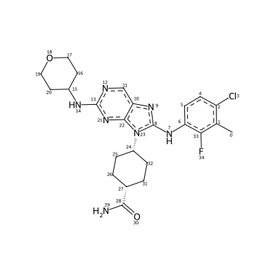 Cc1c(Cl)ccc(Nc2nc3cnc(NC4CCOCC4)nc3n2[C@H]2CC[C@@H](C(N)=O)CC2)c1F